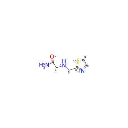 NC(=O)CNCc1nccs1